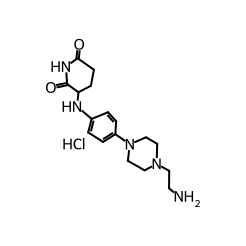 Cl.NCCN1CCN(c2ccc(NC3CCC(=O)NC3=O)cc2)CC1